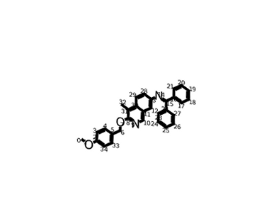 COc1ccc(COc2ncc3cc(N=C(c4ccccc4)c4ccccc4)ccc3c2C)cc1